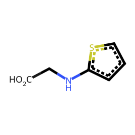 O=C(O)CNc1cccs1